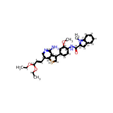 CCOC(C=Cc1cnc(N)c2c(-c3ccc(NC(=O)c4cc5ccccc5n4C)c(OC)c3)csc12)OCC